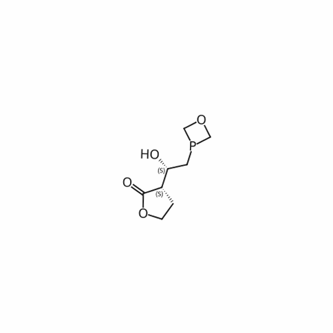 O=C1OCC[C@H]1[C@H](O)CP1COC1